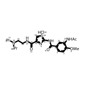 COc1ccc(C(=O)Nc2nc(C(=O)NCCN(C(C)C)C(C)C)cs2)cc1NC(C)=O.Cl